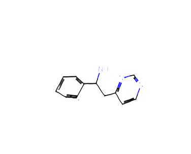 NC(Cc1ccncn1)c1ccccc1